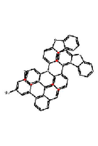 CC(C)(C)c1cc(-c2cccc3cccc(-c4ccccc4N(c4ccc5oc6ccccc6c5c4)c4ccccc4-c4cccc5oc6ccccc6c45)c23)cc(C(C)(C)C)c1